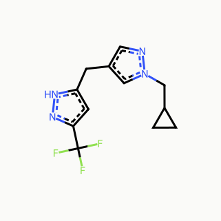 FC(F)(F)c1cc(Cc2cnn(CC3CC3)c2)[nH]n1